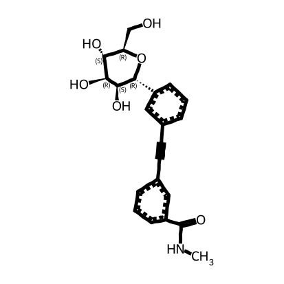 CNC(=O)c1cccc(C#Cc2cccc([C@H]3O[C@H](CO)[C@@H](O)[C@H](O)[C@@H]3O)c2)c1